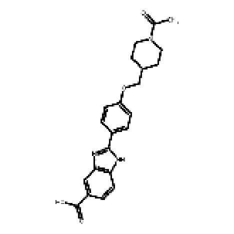 CC(=O)N1CCC(COc2ccc(-c3nc4cc(C(=O)O)ccc4[nH]3)cc2)CC1